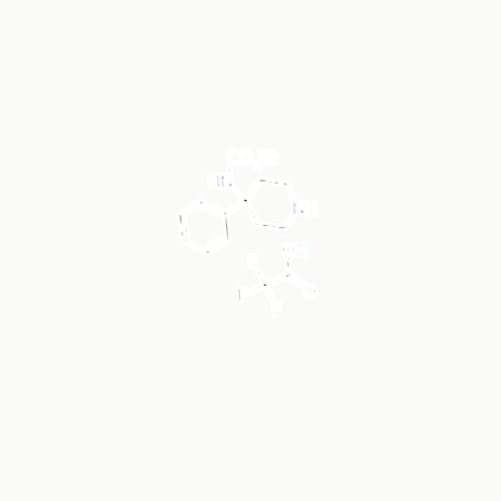 CCOC(=O)NC1(c2ccccc2)CCNCC1.O=C(O)C(F)(F)F